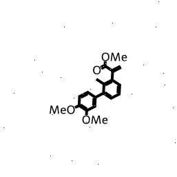 C=C(C(=O)OC)c1cccc(-c2ccc(OC)c(OC)c2)c1C